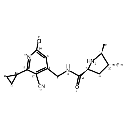 C[C@@H]1N[C@H](C(=O)NCc2cc(Cl)nc(C3CC3)c2C#N)C[C@H]1F